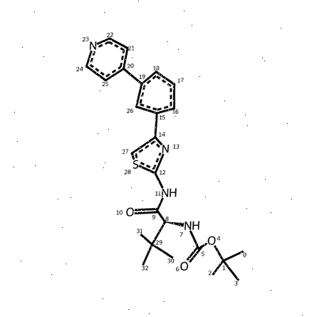 CC(C)(C)OC(=O)N[C@H](C(=O)Nc1nc(-c2cccc(-c3ccncc3)c2)cs1)C(C)(C)C